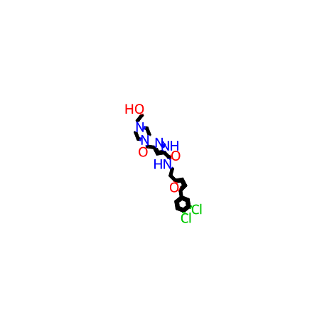 O=C(NCCc1ccc(-c2ccc(Cl)c(Cl)c2)o1)c1cc(C(=O)N2CCN(CCO)CC2)n[nH]1